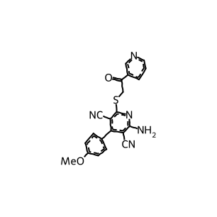 COc1ccc(-c2c(C#N)c(N)nc(SCC(=O)c3cccnc3)c2C#N)cc1